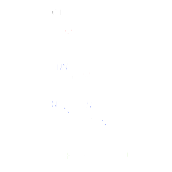 Cc1ccc(CNC(=O)c2cnn3ccc(N4CCCC4c4cc(F)ccc4F)nc23)o1